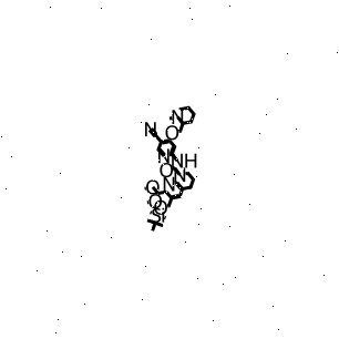 COC(OC)c1nc2c(cc1CO[Si](C)(C)C(C)(C)C)CCCN2C(=O)Nc1cc(OCC2CCCCN2C)c(C#N)cn1